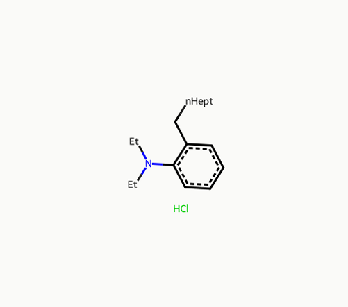 CCCCCCCCc1ccccc1N(CC)CC.Cl